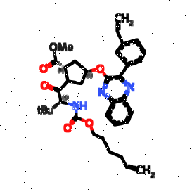 C=CCCCCOC(=O)N[C@H](C(=O)C1C[C@H](Oc2nc3ccccc3nc2-c2cccc(C=C)c2)C[C@H]1C(=O)OC)C(C)(C)C